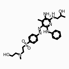 Cc1c(N)c(NCC(C)O)nc(Nc2ccccc2)c1/N=N/c1ccc(S(=O)(=O)CCN(C)CCO)cc1